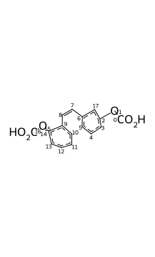 O=C(O)Oc1cccc(/C=C\c2ccccc2OC(=O)O)c1